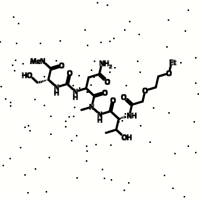 CCOCCOCC(=O)N[C@@H](C(=O)NN(C)C(=O)C(CC(N)=O)NC(=O)N[C@H](CO)C(=O)NC)C(C)O